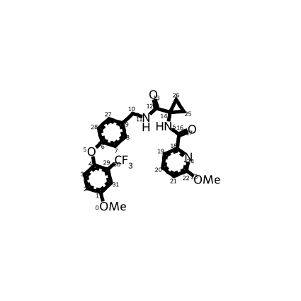 COc1ccc(Oc2ccc(CNC(=O)C3(NC(=O)c4cccc(OC)n4)CC3)cc2)c(C(F)(F)F)c1